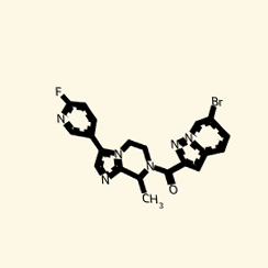 CC1c2ncc(-c3ccc(F)nc3)n2CCN1C(=O)c1cc2ccc(Br)cn2n1